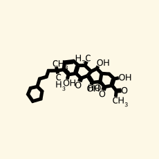 CC(=O)C1=C(O)CC2C(O)C3C(=C(O)C2(O)C1=O)C(=O)c1c(ccc(C(C)(C)CCCC2CCCCC2)c1O)C3C